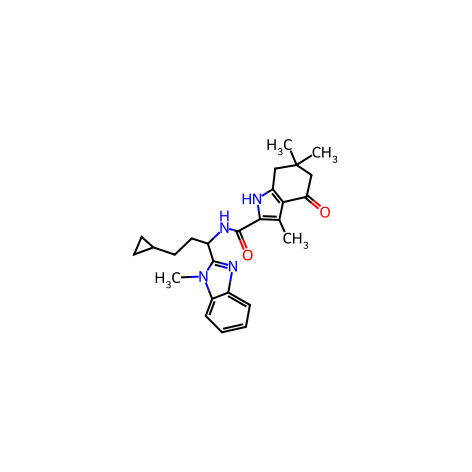 Cc1c(C(=O)NC(CCC2CC2)c2nc3ccccc3n2C)[nH]c2c1C(=O)CC(C)(C)C2